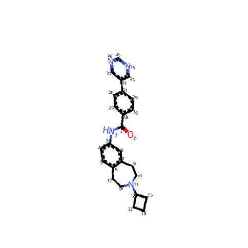 O=C(Nc1ccc2c(c1)CCN(C1CCC1)CC2)c1ccc(-c2cncnc2)cc1